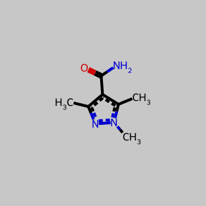 Cc1nn(C)c(C)c1C(N)=O